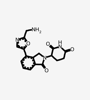 NCc1ncc(-c2cccc3c2CN(C2CCC(=O)NC2=O)C3=O)o1